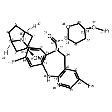 CO[C@H]1C[C@H]2CC[C@@H](C1)N2c1cc2c(cc1F)Nc1ncc(F)cc1CN2C(=O)[C@H]1CC[C@H](OC(C)C)CO1